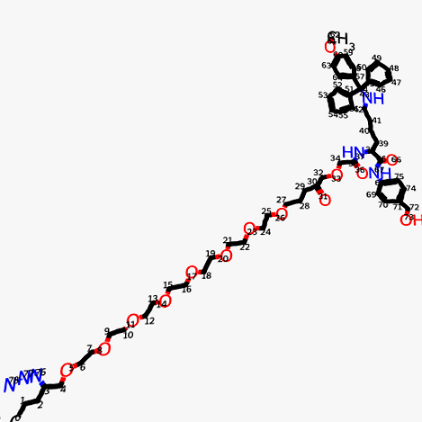 CCCC(COCCOCCOCCOCCOCCOCCOCCOCCCC(=O)COCC(=O)NC(CCCCNC(c1ccccc1)(c1ccccc1)c1ccc(OC)cc1)C(=O)Nc1ccc(CO)cc1)N=[N+]=[N-]